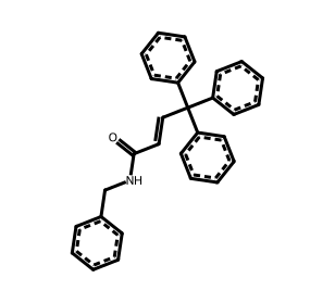 O=C(C=CC(c1ccccc1)(c1ccccc1)c1ccccc1)NCc1ccccc1